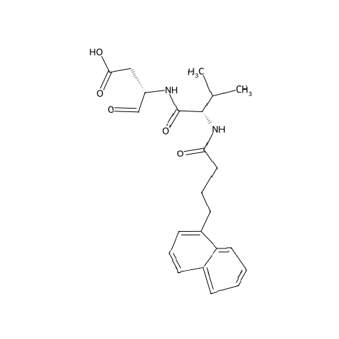 CC(C)[C@H](NC(=O)CCCc1cccc2ccccc12)C(=O)N[C@H](C=O)CC(=O)O